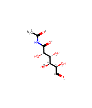 CC(=O)NC(=O)[C@@H](O)[C@H](O)[C@H](O)[C@@H](O)C=O